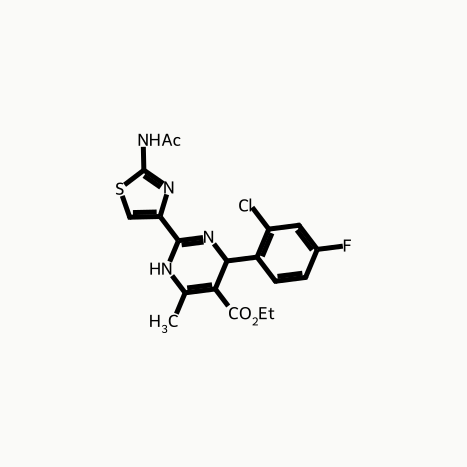 CCOC(=O)C1=C(C)NC(c2csc(NC(C)=O)n2)=NC1c1ccc(F)cc1Cl